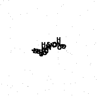 COCC(=O)NC1CCN(c2nc(C(=O)N[C@@H](CO[Si](C)(C)C(C)(C)C)C(=O)OC)cs2)CC1